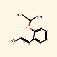 CCCCCCCCC(CCCCCCCC)Oc1ccccc1/C=C/C(=O)O